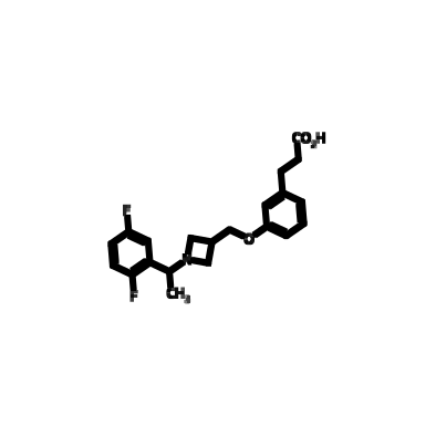 CC(c1cc(F)ccc1F)N1CC(COc2cccc(CCC(=O)O)c2)C1